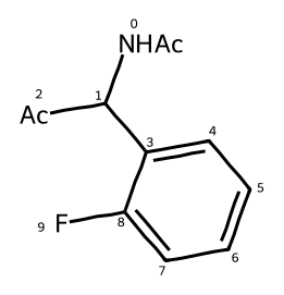 CC(=O)NC(C(C)=O)c1ccccc1F